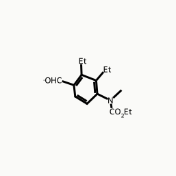 CCOC(=O)N(C)c1ccc([C]=O)c(CC)c1CC